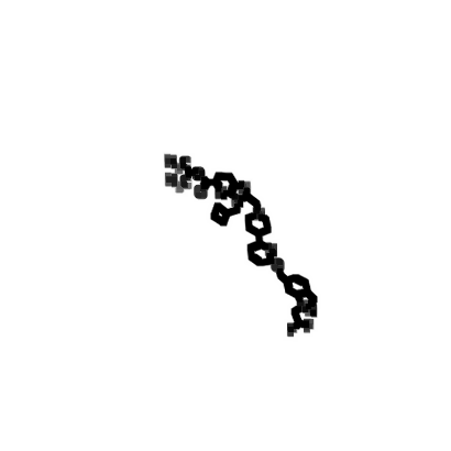 CC(C)OC(=O)c1ccc2nc(CN3CCC(c4cccc(OCc5ccc6cnn(CC(F)F)c6c5)n4)CC3)n(CC3CCC3)c2n1